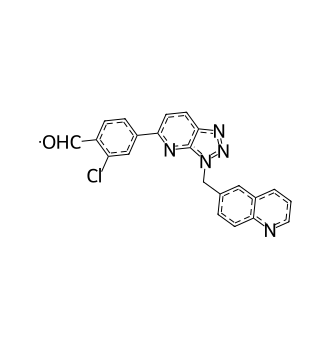 O=[C]c1ccc(-c2ccc3nnn(Cc4ccc5ncccc5c4)c3n2)cc1Cl